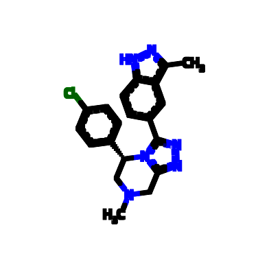 Cc1n[nH]c2ccc(-c3nnc4n3[C@@H](c3ccc(Cl)cc3)CN(C)C4)cc12